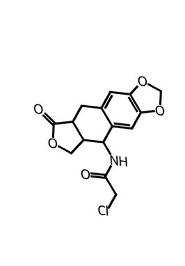 O=C(CCl)NC1c2cc3c(cc2CC2C(=O)OCC21)OCO3